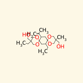 C=C(C)C1CC2(OCC(C)(CO)CO2)C(CC)CC12OCC(CC)(CO)CO2